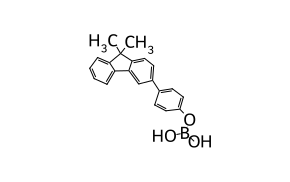 CC1(C)c2ccccc2-c2cc(-c3ccc(OB(O)O)cc3)ccc21